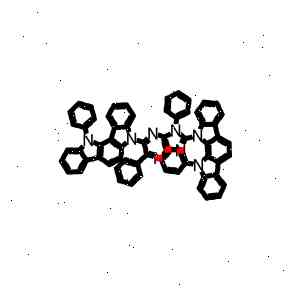 c1ccc(-c2nc3nc(-n4c5ccccc5c5ccc6c7ccccc7n(-c7ccccc7)c6c54)n(-c4ccccc4)c3nc2-n2c3ccccc3c3c2ccc2c4ccccc4n(-c4ccccc4)c23)cc1